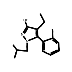 CCc1c(O)nn(CC(C)C)c1-c1ccccc1C